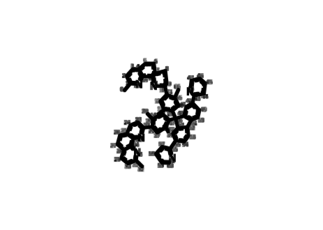 Cc1ccc2ccc3ccc(-c4cc(C)c(C5(c6cc(C)c(-c7ccc8ccc9ccc(C)nc9c8n7)cc6C)c6cc(-c7ccccn7)ccc6-c6ccc(-c7ccccn7)cc65)cc4C)nc3c2n1